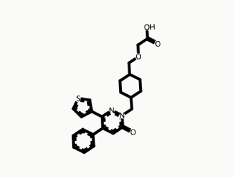 O=C(O)COCC1CCC(Cn2nc(-c3ccsc3)c(-c3ccccc3)cc2=O)CC1